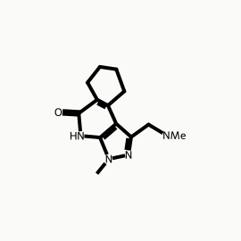 CNCc1nn(C)c2[nH]c(=O)c3c(c12)CCCC3